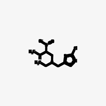 CCN(Cc1cnc(Cl)s1)CC(NC)[N+](=O)[O-]